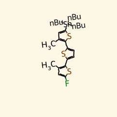 CCC[CH2][Sn]([CH2]CCC)([CH2]CCC)[c]1cc(C)c(-c2ccc(-c3sc(F)cc3C)s2)s1